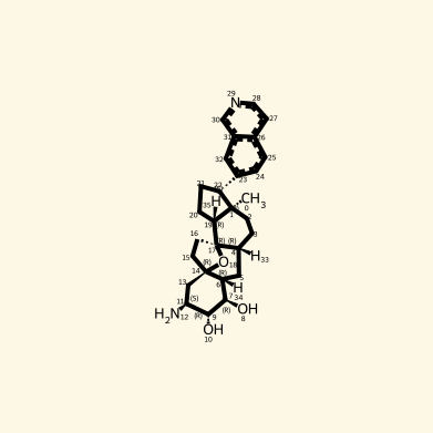 C[C@]12CC[C@@H]3C[C@@H]4[C@@H](O)[C@H](O)[C@@H](N)C[C@]45CC[C@]3(O5)[C@@H]1CC[C@@H]2c1ccc2ccncc2c1